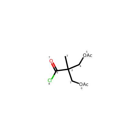 CC(=O)OCC(C)(COC(C)=O)C(=O)Cl